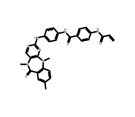 C=CC(=O)Nc1ccc(C(=O)Nc2ccc(Nc3ncc4c(n3)N(C)c3ccc(C)cc3C(=O)N4C)cc2)cc1